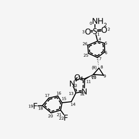 NS(=O)(=O)c1ccc([C@@H]2C[C@H]2c2nc(Cc3ccc(F)cc3F)no2)cc1